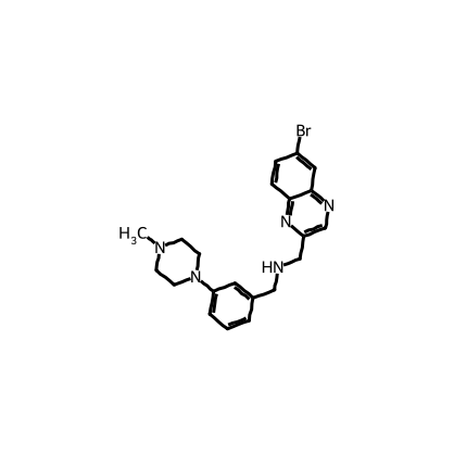 CN1CCN(c2cccc(CNCc3cnc4cc(Br)ccc4n3)c2)CC1